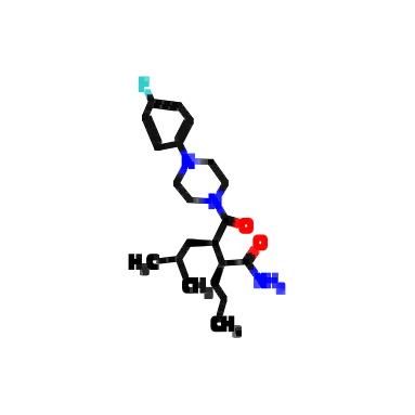 CCC[C@H](C(N)=O)[C@@H](CC(C)C)C(=O)N1CCN(c2ccc(F)cc2)CC1